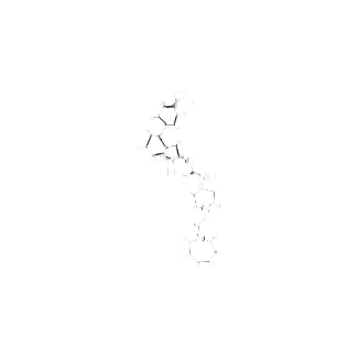 O=C(NC1CCN(CCN2CCCCCC2)CC1)Oc1cc2c(-c3ccc(C(F)(F)F)cc3)cccc2[nH]1